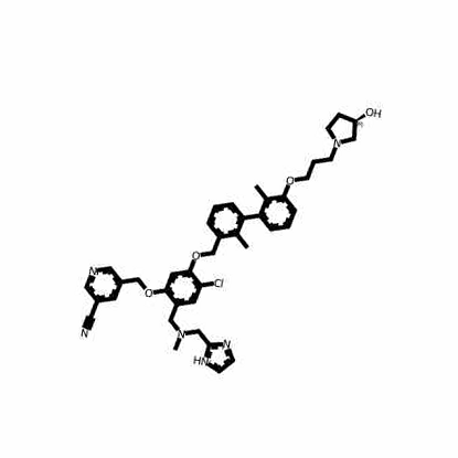 Cc1c(COc2cc(OCc3cncc(C#N)c3)c(CN(C)Cc3ncc[nH]3)cc2Cl)cccc1-c1cccc(OCCCN2CC[C@@H](O)C2)c1C